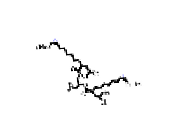 CCCCCC/C=C\CCCCCCC(CC(CC)CCCC)C(=O)OCC(CN(C)C)OC(=O)C(CCCCCC/C=C\CCCCCC)CC(CC)CCCC